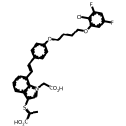 CC(Sc1cn(CC(=O)O)c2c(C=Cc3ccc(OCCCCOc4cc(F)cc(F)c4Cl)cc3)cccc12)C(=O)O